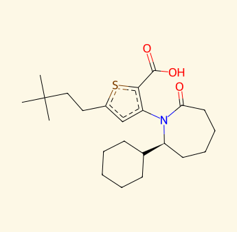 CC(C)(C)CCc1cc(N2C(=O)CCCC[C@H]2C2CCCCC2)c(C(=O)O)s1